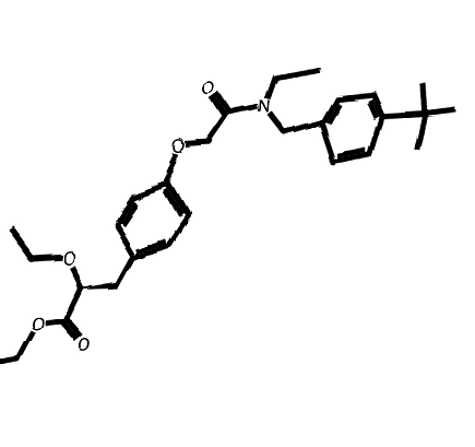 CCOC(=O)[C@H](Cc1ccc(OCC(=O)N(CC)Cc2ccc(C(C)(C)C)cc2)cc1)OCC